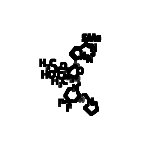 CSc1ncnn2c([C@@H]3O[C@H](CN4CCC(F)(F)C[C@H]4CN4CCCC4)[C@@H](C)[C@H]3OC(C)(C)O)ccc12